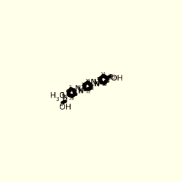 CN(CCO)c1ccc(N=Nc2ccc(N=Nc3ccc(CO)cc3)cc2)cc1